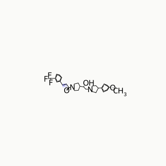 COc1ccc(C2CCN(CC(O)C3CCN(C(=O)/C=C/c4cccc(C(F)(F)F)c4)CC3)CC2)cc1